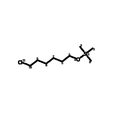 C[Si](C)(C)OCCCCCCCl